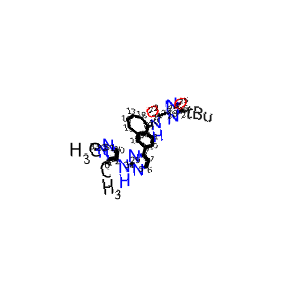 Cc1c(Nc2nccc(-c3ccc4c(c3)CCCC[C@@H]4NC(=O)c3noc(C(C)(C)C)n3)n2)cnn1C